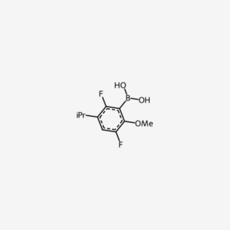 COc1c(F)cc(C(C)C)c(F)c1B(O)O